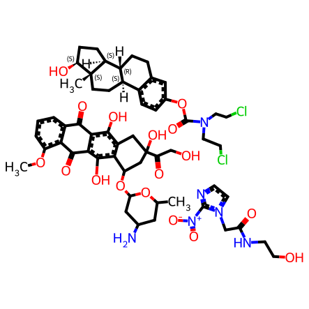 COc1cccc2c1C(=O)c1c(O)c3c(c(O)c1C2=O)CC(O)(C(=O)CO)CC3OC1CC(N)CC(C)O1.C[C@]12CC[C@@H]3c4ccc(OC(=O)N(CCCl)CCCl)cc4CC[C@H]3[C@@H]1CC[C@@H]2O.O=C(Cn1ccnc1[N+](=O)[O-])NCCO